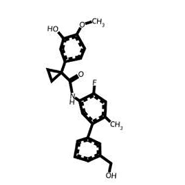 COc1ccc(C2(C(=O)Nc3cc(-c4cccc(CO)c4)c(C)cc3F)CC2)cc1O